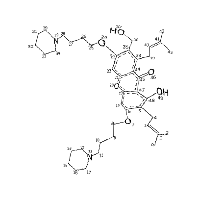 CC(C)=CCc1c(OCCCCN2CCCCC2)cc2oc3cc(OCCCCN4CCCCC4)c(CO)c(CC=C(C)C)c3c(=O)c2c1O